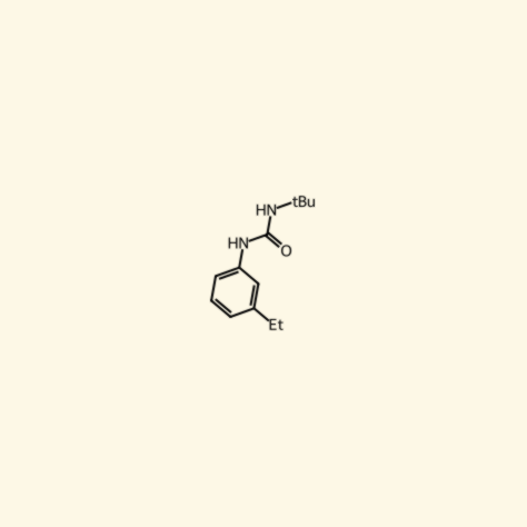 CCc1cccc(NC(=O)NC(C)(C)C)c1